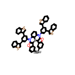 CC(C)(C)c1ccc2oc3c(c2c1)B1c2c(cccc2N(c2cc(-c4csc5ccccc45)cc(-c4csc5ccccc45)c2)c2oc4ccc(C(C)(C)C)cc4c21)N3c1cc(-c2csc3ccccc23)cc(-c2csc3ccccc23)c1